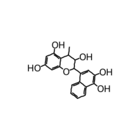 CC1c2c(O)cc(O)cc2OC(c2cc(O)c(O)c3ccccc23)C1O